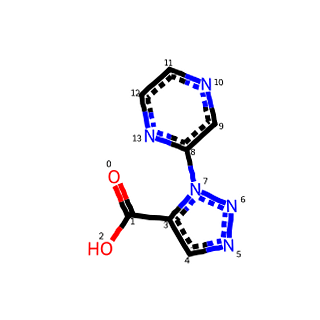 O=C(O)c1cnnn1-c1cnccn1